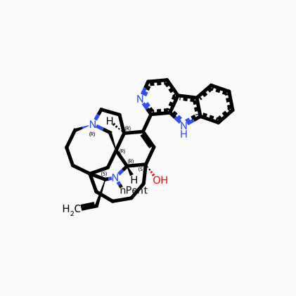 C=C[C@@H]1N(CCCCC)[C@@H]2[C@@]34C[N@@]5CCCC1(CCCC[C@]2(O)C=C(c1nccc2c1[nH]c1ccccc12)[C@@H]3CC5)C4